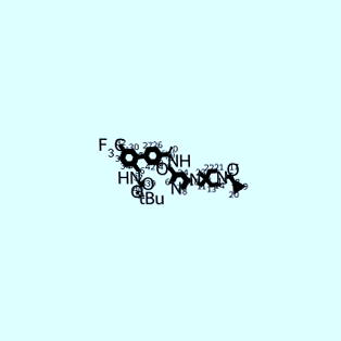 C[C@@H](NC(=O)c1cncc(N2CC3(CCN(C(=O)C4CC4)CC3)C2)c1)c1ccc(-c2cc(C(F)(F)F)ccc2CNC(=O)OC(C)(C)C)cc1